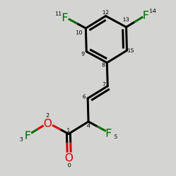 O=C(OF)C(F)C=Cc1cc(F)cc(F)c1